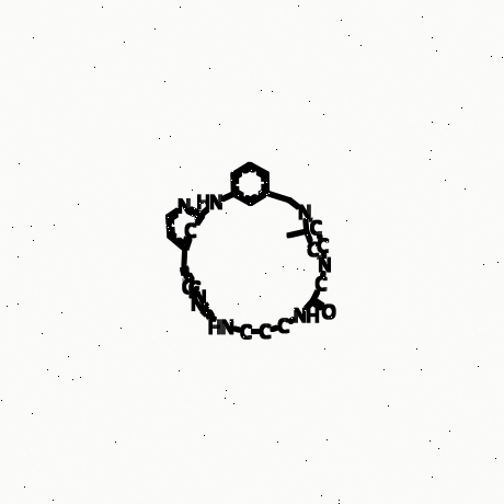 CC1CN2CCN1Cc1cccc(c1)Nc1cc(ccn1)-c1cnc(nc1)NCCCNC(=O)C2